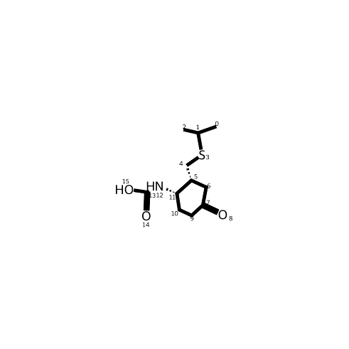 CC(C)SC[C@@H]1CC(=O)CC[C@@H]1NC(=O)O